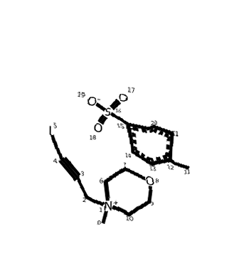 C[N+]1(CC#CI)CCOCC1.Cc1ccc(S(=O)(=O)[O-])cc1